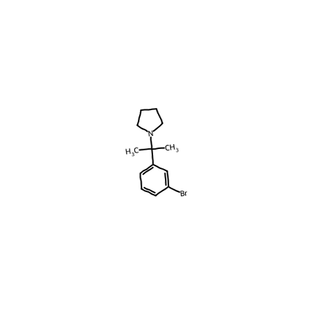 CC(C)(c1cccc(Br)c1)N1CCCC1